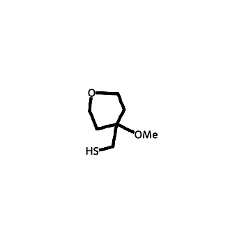 COC1(CS)CCOCC1